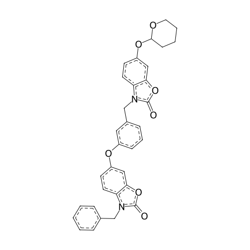 O=c1oc2cc(Oc3cccc(Cn4c(=O)oc5cc(OC6CCCCO6)ccc54)c3)ccc2n1Cc1ccccc1